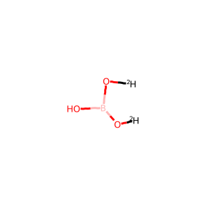 [2H]OB(O)O[2H]